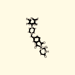 O=C1CCN(N2C(=O)c3ccc(CN4CCN(c5c(F)c(F)nc(F)c5F)CC4)cc3C2=O)C(=O)N1